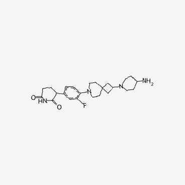 NC1CCN(C2CC3(CCN(c4ccc(C5CCC(=O)NC5=O)cc4F)CC3)C2)CC1